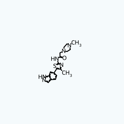 Cc1nc(NC(=O)CN2CCN(C)CC2)sc1-c1ccc2cn[nH]c2c1